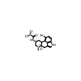 CCN(CC)C(=O)N[C@H]1CC2c3c(C#N)ccc4[nH]cc(c34)C[C@H]2N(C)C1